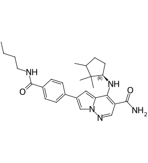 CCCCNC(=O)c1ccc(-c2cc3c(N[C@@H]4CCC(C)C4(C)C)c(C(N)=O)cnn3c2)cc1